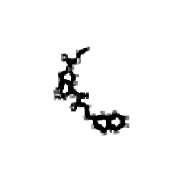 CCOC(=O)N1Cc2n[nH]c(NC(=O)CCc3ccc4ccccc4c3)c2C1